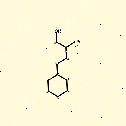 CCCC(CO)CCC1CCCCC1